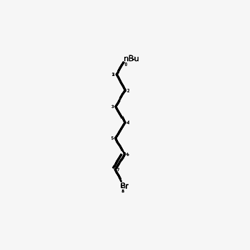 CCCCCCCCC/C=C/Br